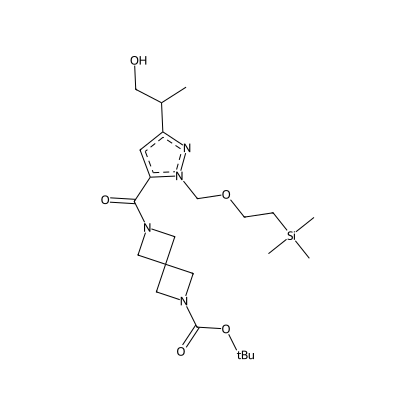 CC(CO)c1cc(C(=O)N2CC3(CN(C(=O)OC(C)(C)C)C3)C2)n(COCC[Si](C)(C)C)n1